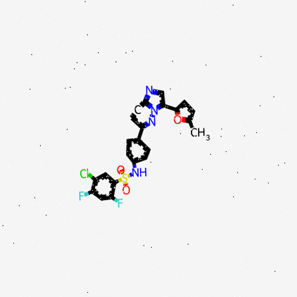 Cc1ccc(-c2cnc3ccc(-c4ccc(NS(=O)(=O)c5cc(Cl)c(F)cc5F)cc4)nn23)o1